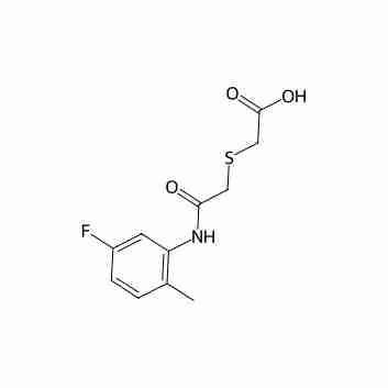 Cc1ccc(F)cc1NC(=O)CSCC(=O)O